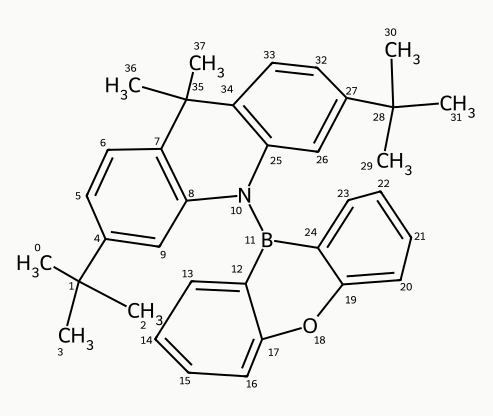 CC(C)(C)c1ccc2c(c1)N(B1c3ccccc3Oc3ccccc31)c1cc(C(C)(C)C)ccc1C2(C)C